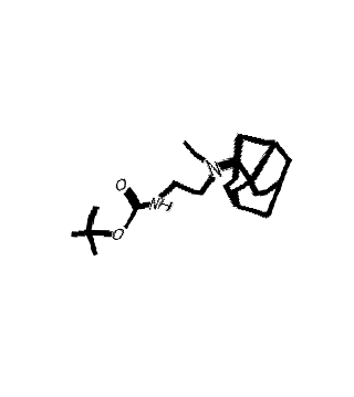 CN(CCNC(=O)OC(C)(C)C)C12CC3CC(CC(C3)C1)C2